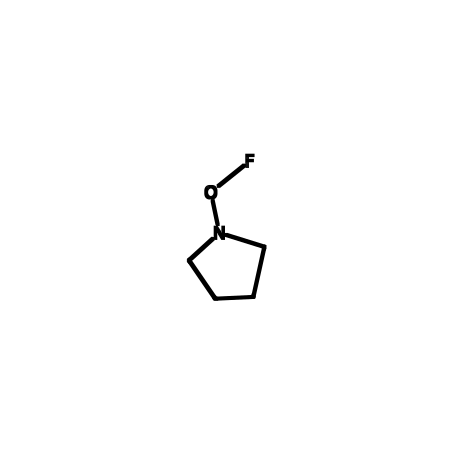 FON1CCCC1